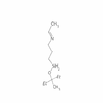 CC=NCCC[SiH2]OC(C)(CC)CC